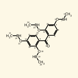 CBOc1ccc(C(=O)c2ccc(OBC)cc2OBC)c(OBC)c1